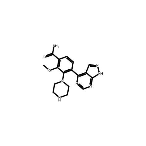 COc1c(C(N)=O)ccc(-c2ncnc3[nH]ncc23)c1N1CCNCC1